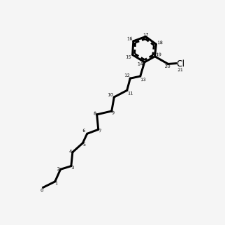 CCCCCCCCCCCCCCc1ccccc1CCl